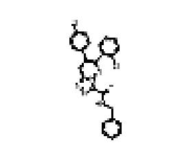 O=C(NCc1ccccc1)c1nnc2cc(-c3ccc(Cl)cc3)c(-c3ccccc3Cl)nn12